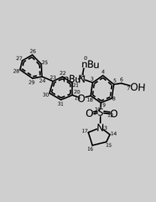 CCCCN(CCCC)c1cc(CO)cc(S(=O)(=O)N2CCCC2)c1Oc1ccc(-c2ccccc2)cc1